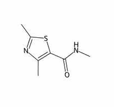 CNC(=O)c1sc(C)nc1C